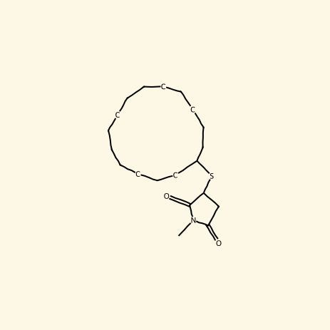 CN1C(=O)CC(SC2CCCCCCCCCCCCCC2)C1=O